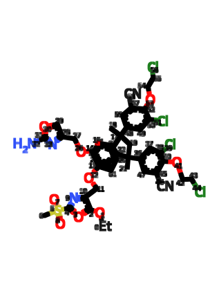 CCOc1oc(S(C)(=O)=O)nc1COc1ccc(C(C)(CC(C)(c2ccc(OCc3coc(N)n3)cc2)c2cc(Cl)c(OCCCl)c(C#N)c2)c2cc(Cl)c(OCCCl)c(C#N)c2)cc1